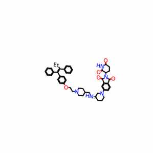 CCC(=C(c1ccccc1)c1ccc(OCCN2CCC(CN[C@H]3CCCN(c4ccc5c(c4)C(=O)N(C4CCC(=O)NC4=O)C5=O)C3)CC2)cc1)c1ccccc1